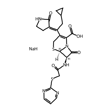 O=C(CSc1ncccn1)N[C@@H]1C(=O)N2C(C(=O)O)=C(C(CC3CC3)=C3CCNC3=O)CS[C@H]12.[NaH]